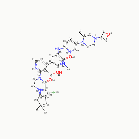 C[C@H]1CN(C2COC2)CCN1c1ccc(Nc2cc(-c3ccnc(N4CCn5c6c(c(F)c5C4=O)CC(C)(C)C6)c3CO)cn(C)c2=O)nc1